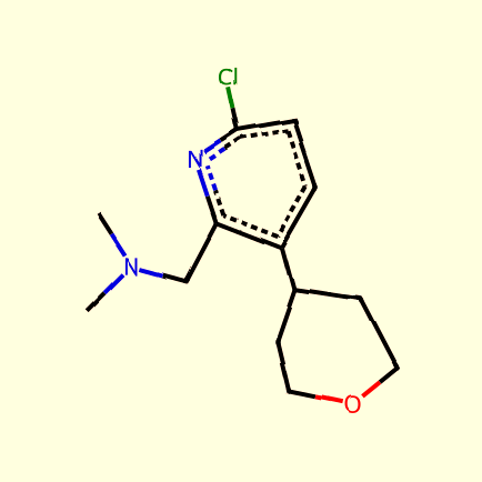 CN(C)Cc1nc(Cl)ccc1C1CCOCC1